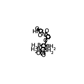 Bc1cc(COc2cccc3c2CN(C2CCC(=O)NC2=O)C3=O)c(B)c(B)c1C(B)N1CCOCC1=O